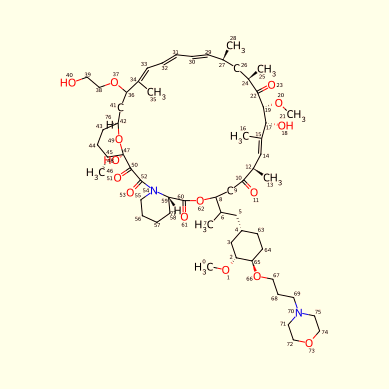 CO[C@@H]1C[C@H](CC(C)C2CC(=O)[C@H](C)/C=C(\C)[C@@H](O)[C@@H](OC)C(=O)[C@H](C)C[C@H](C)/C=C/C=C/C=C(\C)C(OCCO)C[C@@H]3CC[C@@H](C)[C@@](O)(O3)C(=O)C(=O)N3CCCC[C@H]3C(=O)O2)CC[C@H]1OCCCN1CCOCC1